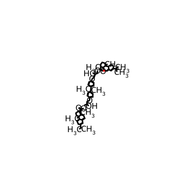 CC(C)C1=CC2=CCC3C(C)(C(=O)OCC(O)COc4ccc(C(C)(C)c5ccc(OCC(O)COC(=O)C6(C)CCCC7(C)C8CCC(C(C)C)=CC8=CCC67)cc5)cc4)CCCC3(C)C2CC1